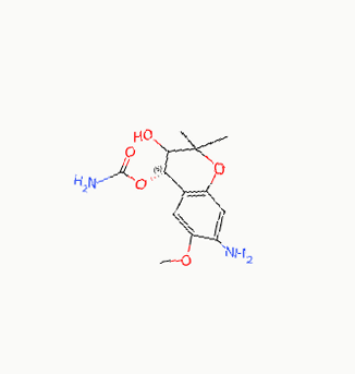 COc1cc2c(cc1N)OC(C)(C)C(O)[C@H]2OC(N)=O